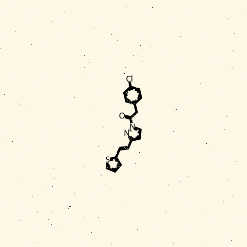 O=C(Cc1ccc(Cl)cc1)n1ccc(C=Cc2cccs2)n1